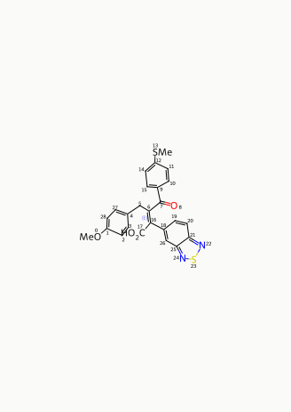 COc1ccc(C/C(C(=O)c2ccc(SC)cc2)=C(\C(=O)O)c2ccc3nsnc3c2)cc1